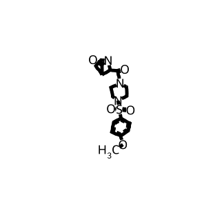 COc1ccc(S(=O)(=O)N2CCN(C(=O)C3C4CCN3C4=O)CC2)cc1